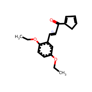 CCOc1ccc(OCC)c(/C=C/C(=O)C2=CC=CC2)c1